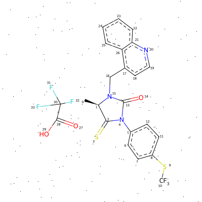 C[C@@H]1C(=S)N(c2ccc(SC(F)(F)F)cc2)C(=O)N1Cc1ccnc2ccccc12.O=C(O)C(F)(F)F